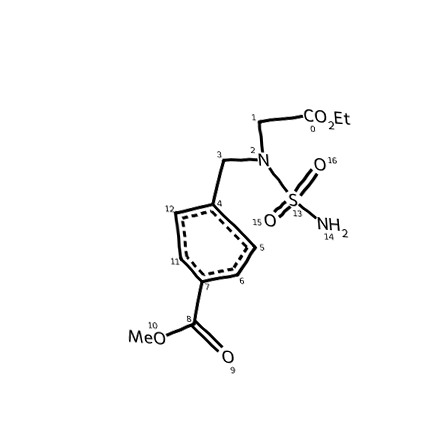 CCOC(=O)CN(Cc1ccc(C(=O)OC)cc1)S(N)(=O)=O